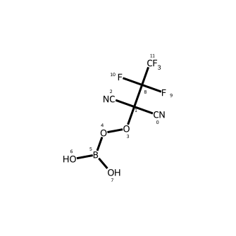 N#CC(C#N)(OOB(O)O)C(F)(F)C(F)(F)F